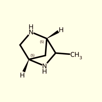 CC1N[C@@H]2CN[C@H]1C2